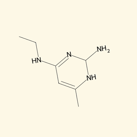 CCNC1=NC(N)NC(C)=C1